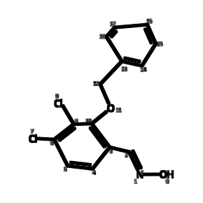 ON=Cc1ccc(Cl)c(Cl)c1OCc1ccccc1